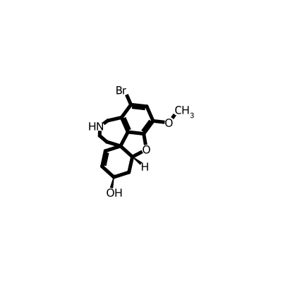 COc1cc(Br)c2c3c1O[C@@H]1C[C@@H](O)C=CC31CCNC2